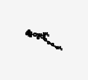 CS(=O)(=O)c1nnc(-c2ccc(NC(=O)C(CCCOCCOCCOCCCN)CC(N)=O)cc2)o1